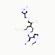 C=N/C=C(\C=N/CCc1c(CNC)sc(NC(=O)c2cnn(C)c2)c1C#N)c1ccnn1CCF